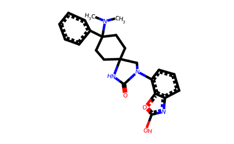 CN(C)C1(c2ccccc2)CCC2(CC1)CN(c1cccc3nc(O)oc13)C(=O)N2